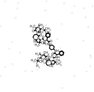 C[C@@H](C(=O)N[C@H]1CCS[C@H]2CC(C)(C)[C@@H](C(=O)N[C@H](C(=O)NC3CCC(NC(=O)[C@@H](NC(=O)[C@H]4N5C(=O)[C@@H](NC(=O)[C@H](C)N(C)C(=O)OC(C)(C)C)CCS[C@H]5CC4(C)C)c4ccccc4)CC3)c3ccccc3)N2C1=O)N(C)C(=O)OC(C)(C)C